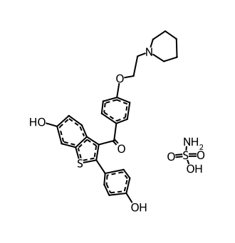 NS(=O)(=O)O.O=C(c1ccc(OCCN2CCCCC2)cc1)c1c(-c2ccc(O)cc2)sc2cc(O)ccc12